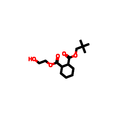 CC(C)(C)COC(=O)C1CCCCC1C(=O)OCCO